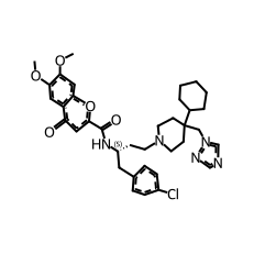 COc1cc2oc(C(=O)N[C@H](CCN3CCC(Cn4cncn4)(C4CCCCC4)CC3)Cc3ccc(Cl)cc3)cc(=O)c2cc1OC